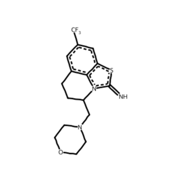 N=c1sc2cc(C(F)(F)F)cc3c2n1C(CN1CCOCC1)CC3